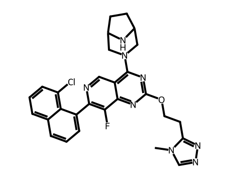 Cn1cnnc1CCOc1nc(N2CC3CCC(C2)N3)c2cnc(-c3cccc4cccc(Cl)c34)c(F)c2n1